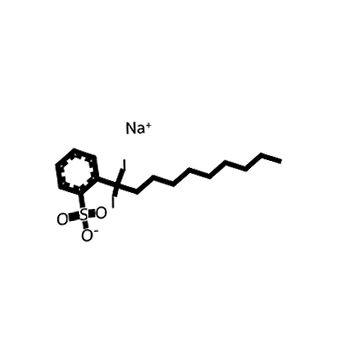 CCCCCCCCCC(I)(I)c1ccccc1S(=O)(=O)[O-].[Na+]